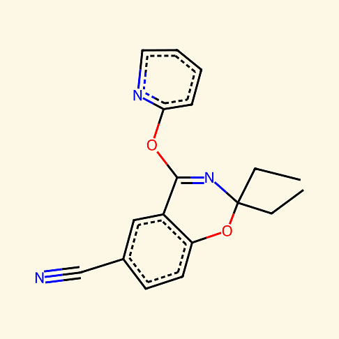 CCC1(CC)N=C(Oc2ccccn2)c2cc(C#N)ccc2O1